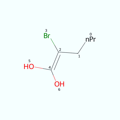 CCCCC(Br)=C(O)O